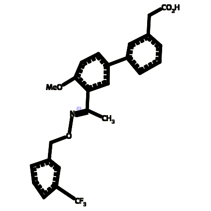 COc1ccc(-c2cccc(CC(=O)O)c2)cc1/C(C)=N/OCc1cccc(C(F)(F)F)c1